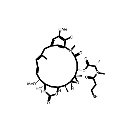 COc1cc2cc(c1Cl)N(C)C(=O)C[C@H](OC(=O)[C@H](C)N(C)C(=O)CCS)[C@]1(C)O[C@@H]1[C@@H](C)[C@@H]1C[C@@](O)(NC(=O)O1)[C@H](OC)/C=C/C=C(\C)C2